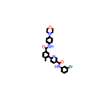 Cc1ccc(C(=O)Nc2ccc(N3CCOCC3)cc2)cc1-c1ccc(C(=O)Nc2cccc(Br)c2)cn1